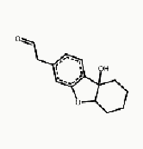 O=CCc1ccc2c(c1)OC1CCCCC21O